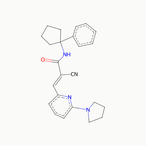 N#C/C(=C\c1cccc(N2CCCC2)n1)C(=O)NC1(c2ccccc2)CCCC1